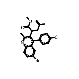 C=C(C)CC(C(=O)OC)c1c(C)nc2ccc(Br)cc2c1-c1ccc(Cl)cc1